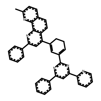 Cc1ccc2ccc3c(C4=CC(c5nc(-c6ccccc6)cc(-c6ccccn6)n5)=CCC4)cc(-c4ccccc4)nc3c2n1